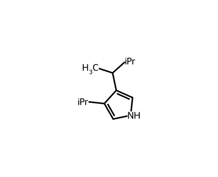 CC(C)c1c[nH]cc1C(C)C(C)C